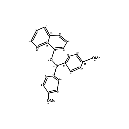 COc1ccc(B(Oc2cccc3cccnc23)c2ccc(OC)cc2)cc1